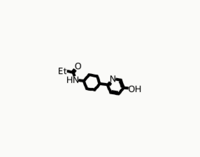 CCC(=O)NC1CCC(c2ccc(O)cn2)CC1